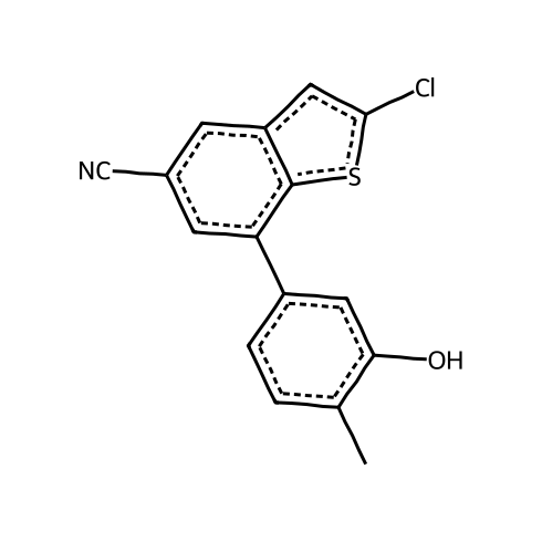 Cc1ccc(-c2cc(C#N)cc3cc(Cl)sc23)cc1O